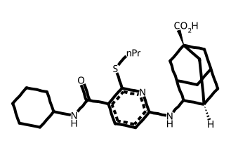 CCCSc1nc(NC2C3CC4C[C@@H]2C[C@@](C(=O)O)(C4)C3)ccc1C(=O)NC1CCCCC1